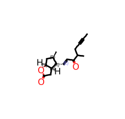 CC#CCC(C)C(=O)/C=C/[C@@H]1[C@H]2CC(=O)O[C@H]2C[C@H]1C